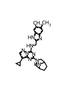 Cc1cc2nc(CNc3nc(N4CC5CCC(C4)N5)nc4c(C5CC5)cnn34)[nH]c2cc1C